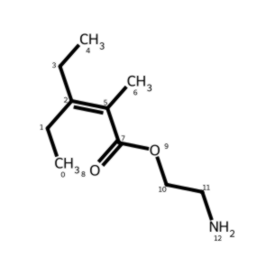 CCC(CC)=C(C)C(=O)OCCN